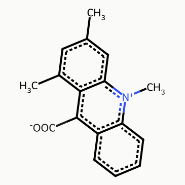 Cc1cc(C)c2c(C(=O)[O-])c3ccccc3[n+](C)c2c1